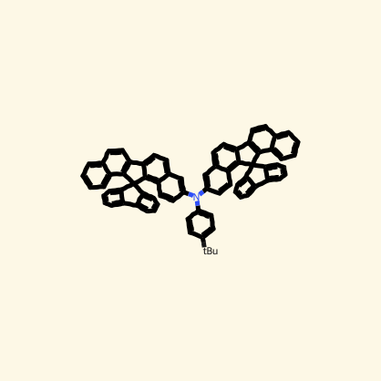 CC(C)(C)c1ccc(N(c2ccc3c4c(ccc3c2)-c2ccc3ccccc3c2C42c3ccccc3-c3ccccc32)c2ccc3c4c(ccc3c2)-c2ccc3ccccc3c2C42c3ccccc3-c3ccccc32)cc1